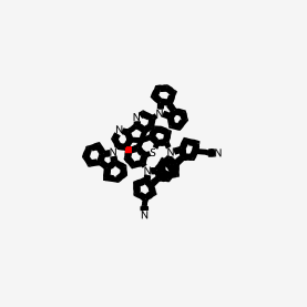 N#Cc1ccc2c(c1)c1ccccc1n2-c1cccc2c1Sc1c(-n3c4ccccc4c4cc(C#N)ccc43)cccc1C21c2cc(-n3c4ccccc4c4ccccc43)cnc2-c2ncc(-n3c4ccccc4c4ccccc43)cc21